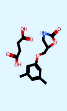 Cc1cc(C)cc(OCC2CNC(=O)O2)c1.O=C(O)CCC(=O)O